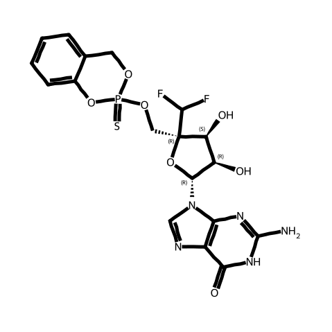 Nc1nc2c(ncn2[C@@H]2O[C@@](COP3(=S)OCc4ccccc4O3)(C(F)F)[C@@H](O)[C@H]2O)c(=O)[nH]1